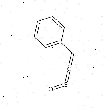 O=S=C=Cc1ccccc1